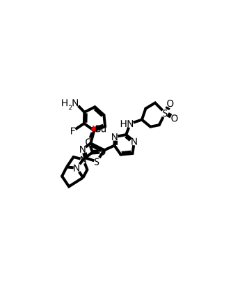 CC(C)(C)OC(=O)N1CC2CCC(C1)N2c1nc(-c2cccc(N)c2F)c(-c2ccnc(NC3CCS(=O)(=O)CC3)n2)s1